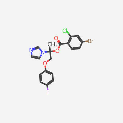 CC(COc1ccc(I)cc1)(OC(=O)c1ccc(Br)cc1Cl)n1ccnc1